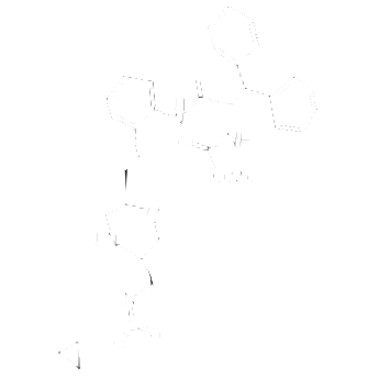 C1CC1.COC(=O)N[C@H](C(=O)Nc1ccccc1CC[C@@H]1CN[C@H](CN=S(=O)=O)CO1)C(c1ccccc1)c1ccccc1